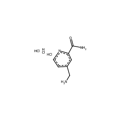 Cl.Cl.Cl.NCc1ccnc(C(N)=O)c1